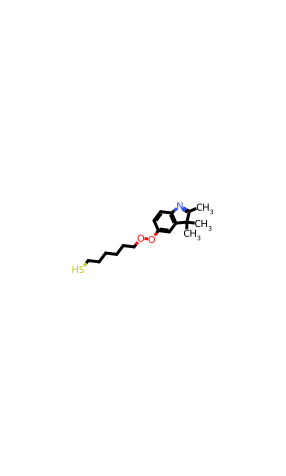 CC1=Nc2ccc(OOCCCCCCS)cc2C1(C)C